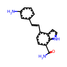 NC(=O)c1ccc(C=Cc2cccc(N)c2)c2cc[nH]c12